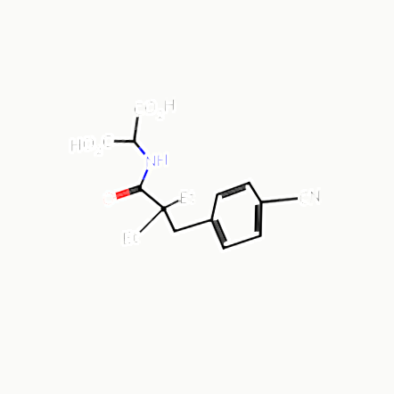 CCC(CC)(Cc1ccc(C#N)cc1)C(=O)NC(C(=O)O)C(=O)O